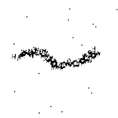 Cn1cc(-c2cnc3c(nnn3C[C@@H]3CN(c4ncc(-c5ccc(CN6CCN(C(=O)CN7CCN(c8ccc9c(=O)n(C%10CCC(=O)NC%10=O)ncc9c8)CC7)CC6)cc5)cn4)CCO3)n2)cn1